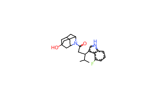 CC(C)C(CC(=O)N1C2CC3CC1CC(O)(C3)C2)c1c[nH]c2cccc(F)c12